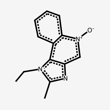 CCn1c(C)nc2c[n+]([O-])c3ccccc3c21